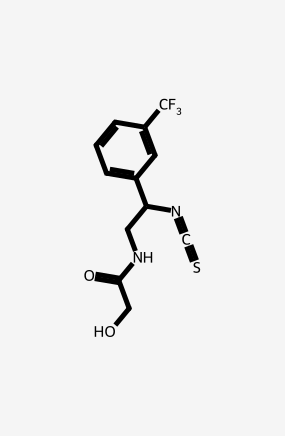 O=C(CO)NCC(N=C=S)c1cccc(C(F)(F)F)c1